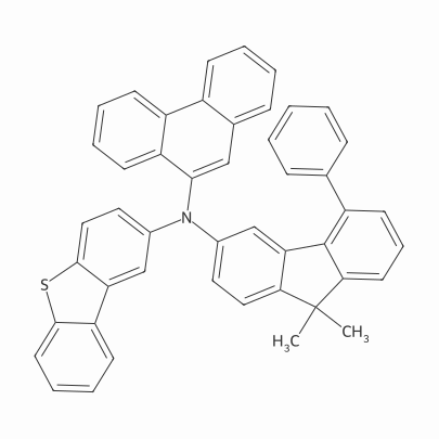 CC1(C)c2ccc(N(c3ccc4sc5ccccc5c4c3)c3cc4ccccc4c4ccccc34)cc2-c2c(-c3ccccc3)cccc21